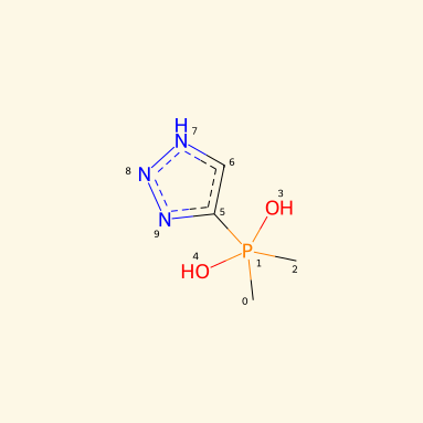 CP(C)(O)(O)c1c[nH]nn1